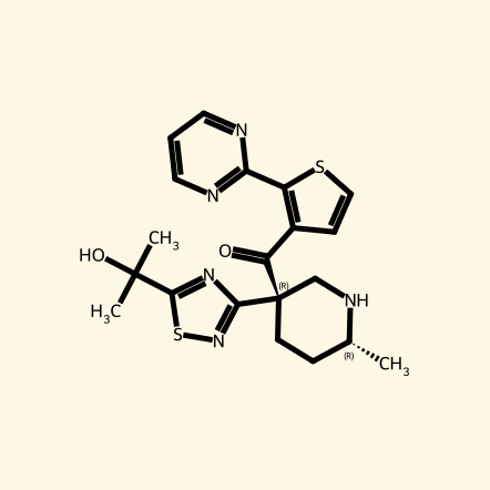 C[C@@H]1CC[C@](C(=O)c2ccsc2-c2ncccn2)(c2nsc(C(C)(C)O)n2)CN1